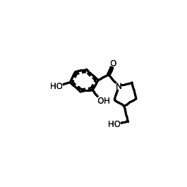 O=C(c1ccc(O)cc1O)N1CCC(CO)C1